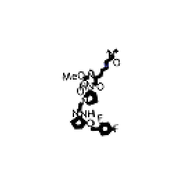 COC(=O)N(C)C(CC/C=C/C(=O)N(C)C)C(=O)Nc1cccn(Cc2nc3cccc(OCc4ccc(F)cc4F)c3[nH]2)c1=O